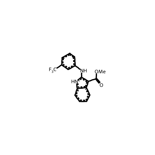 COC(=O)c1c(Nc2cccc(C(F)(F)F)c2)[nH]c2ccccc12